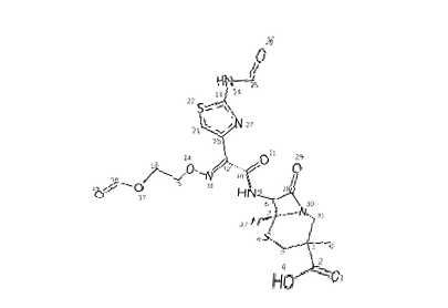 CC1(C(=O)O)CS[C@@H]2C(NC(=O)C(=NOCCOC=O)c3csc(NC=O)n3)C(=O)N2C1